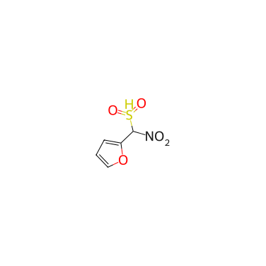 O=[N+]([O-])C(c1ccco1)[SH](=O)=O